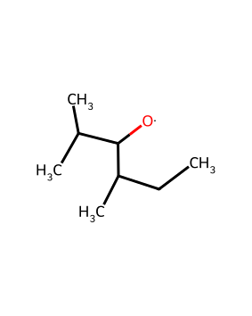 CCC(C)C([O])C(C)C